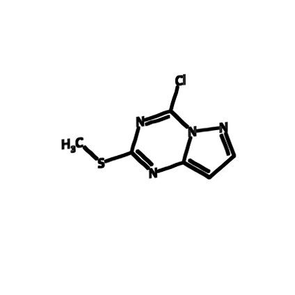 CSc1nc(Cl)n2nccc2n1